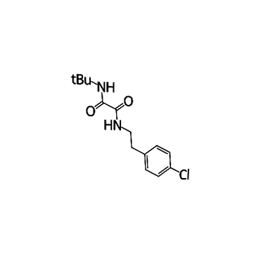 CC(C)(C)NC(=O)C(=O)NCCc1ccc(Cl)cc1